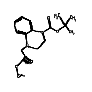 COC(=O)CN1CCN(C(=O)OC(C)(C)C)c2ccccc21